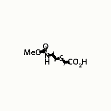 COC(=O)NCCSCC(=O)O